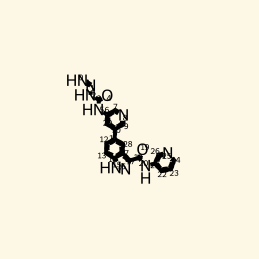 N=NNC(=O)Nc1cncc(-c2ccc3[nH]nc(C(=O)Nc4cccnc4)c3c2)c1